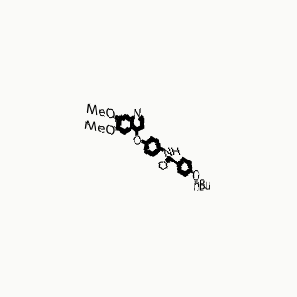 CCCCOc1ccc(C(=O)Nc2ccc(Oc3ccnc4cc(OC)c(OC)cc34)cc2)cc1